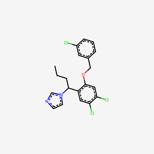 CCCC(c1cc(Cl)c(Cl)cc1OCc1cccc(Cl)c1)n1ccnc1